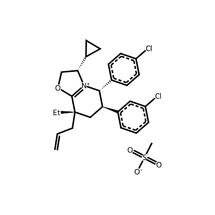 C=CC[C@@]1(CC)C[C@H](c2cccc(Cl)c2)[C@@H](c2ccc(Cl)cc2)[N+]2=C1OC[C@@H]2C1CC1.CS(=O)(=O)[O-]